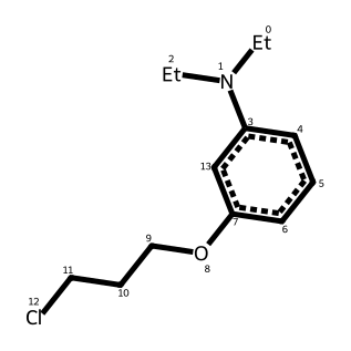 CCN(CC)c1cccc(OCCCCl)c1